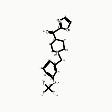 O=C(c1ncco1)C1CCN(Cc2cccc(OC(F)(F)F)c2)CC1